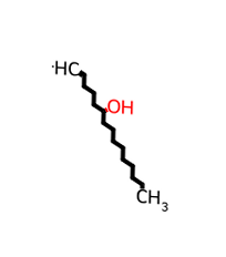 [CH]=CCCCC(O)CCCCCCCCC